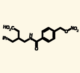 CC(C)CC(CNC(=O)c1ccc(CO[N+](=O)[O-])cc1)CC(=O)O